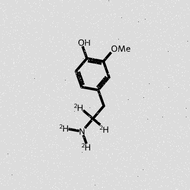 [2H]N([2H])C([2H])([2H])Cc1ccc(O)c(OC)c1